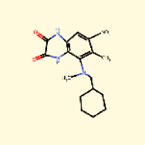 Cc1c([N+](=O)[O-])cc2[nH]c(=O)c(=O)[nH]c2c1N(C)CC1CCCCC1